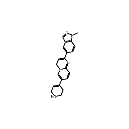 Cn1ncc2cc(C3=CCN4C=C(C5=CCNCC5)C=CC4=N3)ccc21